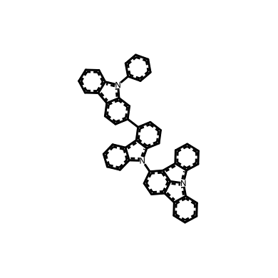 c1ccc(-n2c3ccccc3c3ccc(-c4cccc5c4c4ccccc4n5-c4ccc5c6ccccc6n6c7ccccc7c4c56)cc32)cc1